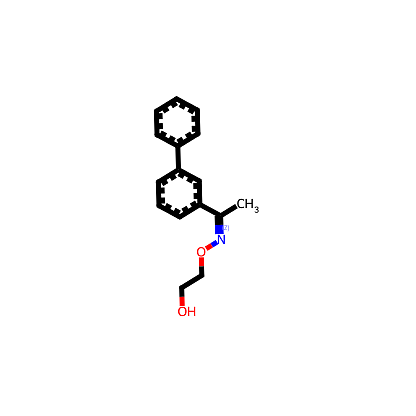 C/C(=N/OCCO)c1cccc(-c2ccccc2)c1